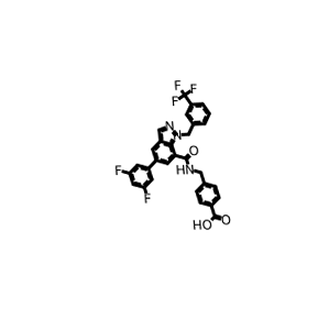 O=C(O)c1ccc(CNC(=O)c2cc(-c3cc(F)cc(F)c3)cc3cnn(Cc4cccc(C(F)(F)F)c4)c23)cc1